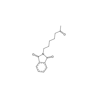 CC(=O)CCCCCN1C(=O)c2ccccc2C1=O